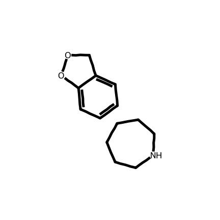 C1CCCNCC1.c1ccc2c(c1)COO2